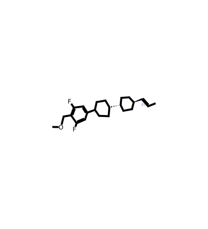 C/C=C/[C@H]1CC[C@H](C2CCC(c3cc(F)c(COC)c(F)c3)CC2)CC1